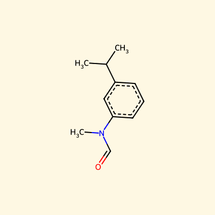 CC(C)c1cccc(N(C)C=O)c1